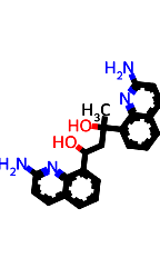 CC(O)(CC(O)c1cccc2ccc(N)nc12)c1cccc2ccc(N)nc12